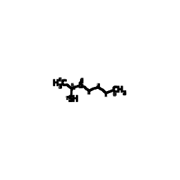 CCCCS[C](C)S